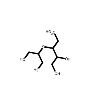 O=C(O)CC(OC(CO)CS)C(O)CO